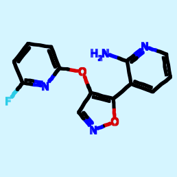 Nc1ncccc1-c1oncc1Oc1cccc(F)n1